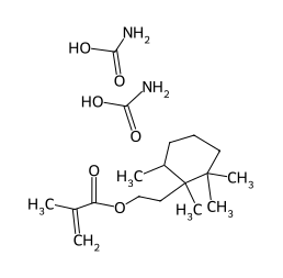 C=C(C)C(=O)OCCC1(C)C(C)CCCC1(C)C.NC(=O)O.NC(=O)O